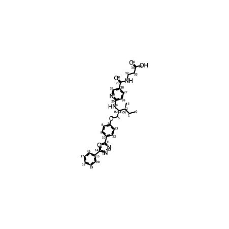 CC[C@H](C)[C@@H](COc1ccc(-c2nnc(-c3ccccc3)o2)cc1)Nc1ccc(C(=O)NCCC(=O)O)cn1